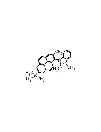 [CH2-][c+]1n(C)c2ccccc2n1-c1c(C)cc2ccc3c4c2c1C=CC4CC(C(C)(C)C)=C3